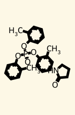 Cc1ccccc1OP(=O)(Oc1ccccc1C)Oc1ccccc1C.O=C1CCCN1